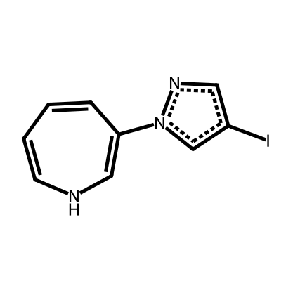 Ic1cnn(C2=CNC=CC=C2)c1